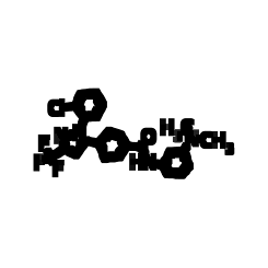 CN(C)c1cccc(NC(=O)c2ccc(-c3cc(C(F)(F)F)nn3-c3ccccc3Cl)cc2)c1